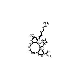 NSCCC/C=C/C[C@@H]1CC[C@H]1CN1Cc2ccc(Cl)cc2CCCCOc2ccc(C(N)=O)cc21